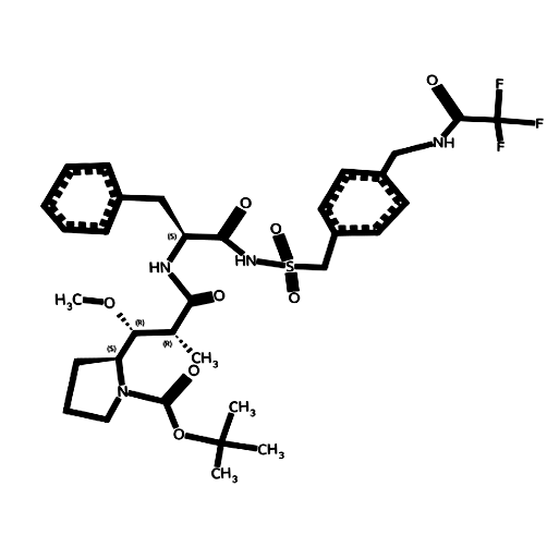 CO[C@H]([C@@H](C)C(=O)N[C@@H](Cc1ccccc1)C(=O)NS(=O)(=O)Cc1ccc(CNC(=O)C(F)(F)F)cc1)[C@@H]1CCCN1C(=O)OC(C)(C)C